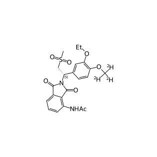 [2H]C([2H])([2H])Oc1ccc([C@@H](CS(C)(=O)=O)N2C(=O)c3cccc(NC(C)=O)c3C2=O)cc1OCC